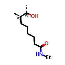 CCNC(=O)CCCCC[C@@H](C)[C@H](C)O